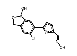 ON=Cc1ccc(-c2cc3c(cc2Cl)COB3O)o1